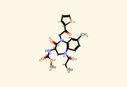 Cc1ccc2c(c1)N(CC(=O)c1cccs1)C(=O)C(NC(=O)OC(C)(C)C)CN2C(=O)CC(C)(C)C